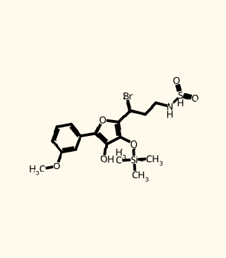 COc1cccc(-c2oc(C(Br)CCN[SH](=O)=O)c(O[Si](C)(C)C)c2O)c1